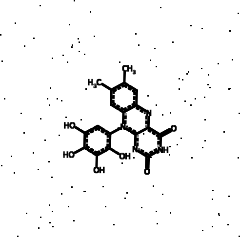 Cc1cc2nc3c(=O)[nH]c(=O)nc-3n(-c3cc(O)c(O)c(O)c3O)c2cc1C